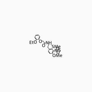 CCOc1ccccc1OCC(=O)N[C@H](CSC)Cc1ccc(OC)c(N2OSO2)c1